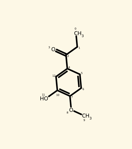 CCC(=O)c1ccc(OC)c(O)c1